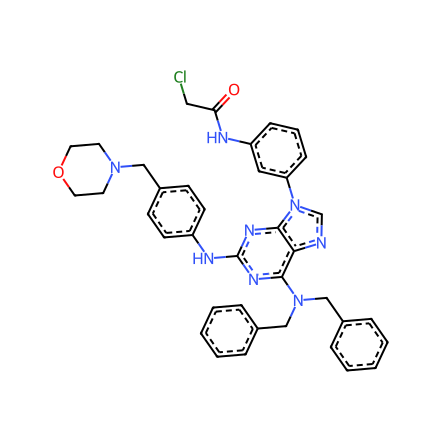 O=C(CCl)Nc1cccc(-n2cnc3c(N(Cc4ccccc4)Cc4ccccc4)nc(Nc4ccc(CN5CCOCC5)cc4)nc32)c1